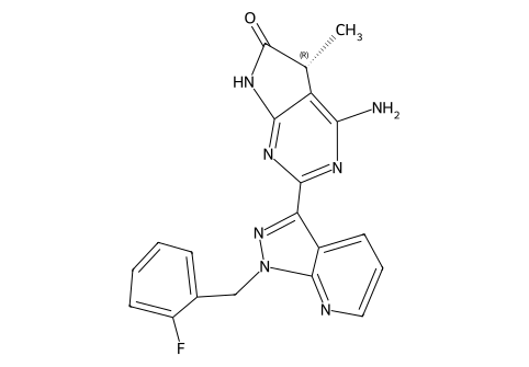 C[C@H]1C(=O)Nc2nc(-c3nn(Cc4ccccc4F)c4ncccc34)nc(N)c21